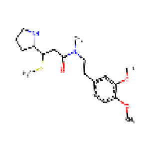 COc1ccc(CCN(C)C(=O)CC(SC)C2CCCN2)cc1OC